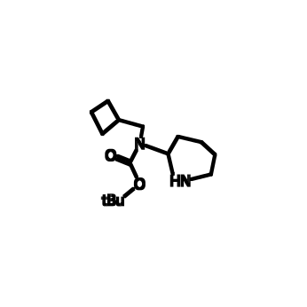 CC(C)(C)OC(=O)N(CC1CCC1)C1CCCCNC1